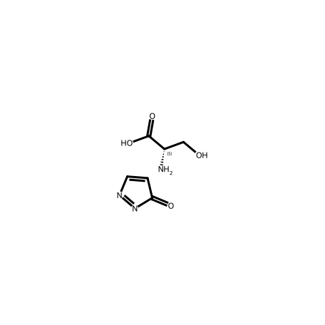 N[C@@H](CO)C(=O)O.O=C1C=CN=N1